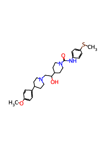 COc1ccc(C2CCN(CC(O)C3CCN(C(=O)Nc4ccc(SC)cc4)CC3)CC2)cc1